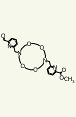 COC(=O)c1cccc(CN2CCOCCOCCN(Cc3cccc(C=O)n3)CCOCCOCC2)n1